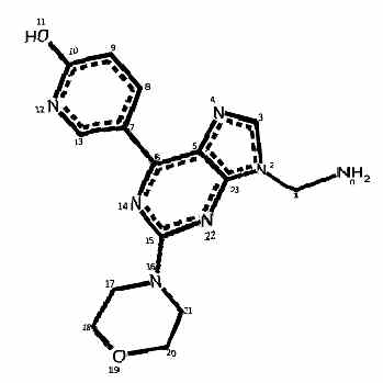 NCn1cnc2c(-c3ccc(O)nc3)nc(N3CCOCC3)nc21